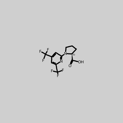 O=C(O)[C@@H]1CCCN1c1cc(C(F)(F)F)cc(C(F)(F)F)n1